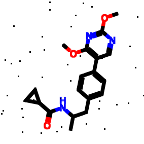 COc1ncc(-c2ccc(CC(C)NC(=O)C3CC3)cc2)c(OC)n1